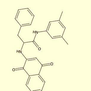 Cc1cc(C)cc(NC(=O)C(Cc2ccccc2)NC2=CC(=O)c3ccccc3C2=O)c1